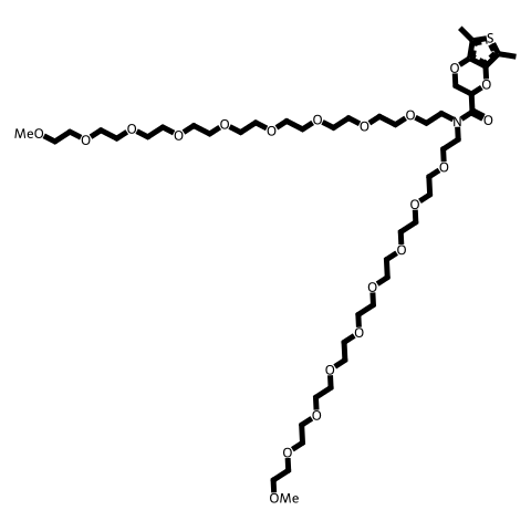 COCCOCCOCCOCCOCCOCCOCCOCCOCCN(CCOCCOCCOCCOCCOCCOCCOCCOCCOC)C(=O)C1COc2c(C)sc(C)c2O1